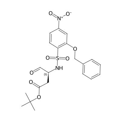 CC(C)(C)OC(=O)C[C@@H](C=O)NS(=O)(=O)c1ccc([N+](=O)[O-])cc1OCc1ccccc1